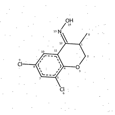 CC1COc2c(Cl)cc(Cl)cc2C1=NO